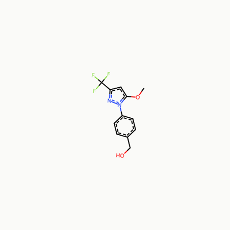 COc1cc(C(F)(F)F)nn1-c1ccc(CO)cc1